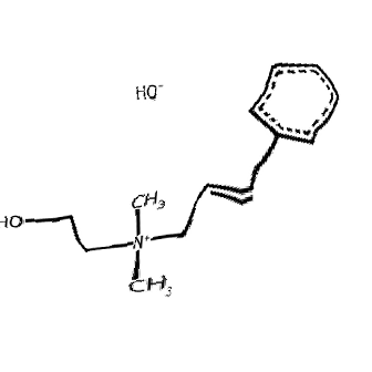 C[N+](C)(CC=Cc1ccccc1)CCO.[OH-]